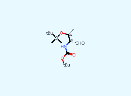 C[C@@H](O[Si](C)(C)C(C)(C)C)[C@H](C=O)NC(=O)OC(C)(C)C